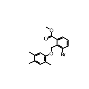 COC(=O)c1cccc(Br)c1COc1cc(C)c(C)cc1C